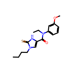 CCCCn1cc(C(=O)N(CC)c2cccc(OC)c2)[nH]c1=S